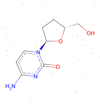 Nc1ccn([C@H]2C[CH][C@H](CO)O2)c(=O)n1